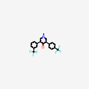 Cn1cc(-c2ccc(C(F)(F)F)cc2)c(=O)c(-c2cccc(C(F)(F)F)c2)c1